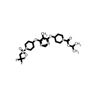 Cc1c(OC2CCN(C(=O)OC(C)C)CC2)ncnc1OC1CCN(S(=O)(=O)CC(F)(F)F)CC1